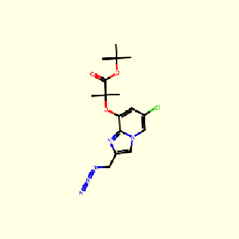 CC(C)(C)OC(=O)C(C)(C)Oc1cc(Cl)cn2cc(CN=[N+]=[N-])nc12